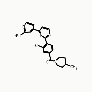 CC1CCN(C(=O)c2ccc(-c3nccc(-c4ccnc(C(C)(C)C)c4)n3)c(Cl)c2)CC1